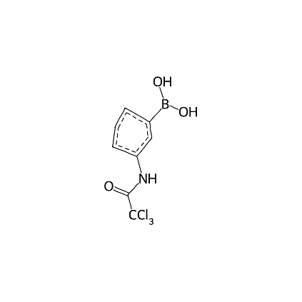 O=C(Nc1cccc(B(O)O)c1)C(Cl)(Cl)Cl